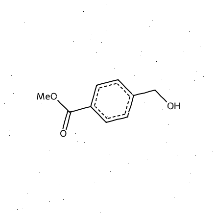 [CH2]OC(=O)c1ccc(CO)cc1